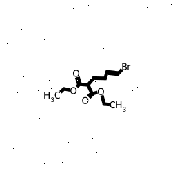 CCOC(=O)C(CCC=CBr)C(=O)OCC